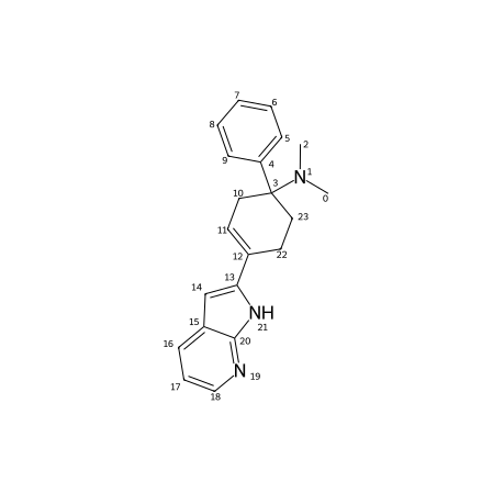 CN(C)C1(c2ccccc2)CC=C(c2cc3cccnc3[nH]2)CC1